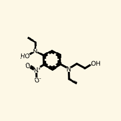 CCN(O)c1ccc(N(CC)CCO)cc1[N+](=O)[O-]